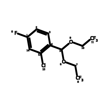 Fc1ccc(C(OCC(F)(F)F)OCC(F)(F)F)c(Cl)c1